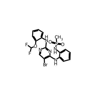 CS(=O)(=O)Nc1ccccc1Nc1nc(Nc2ccccc2OC(F)F)ncc1Br